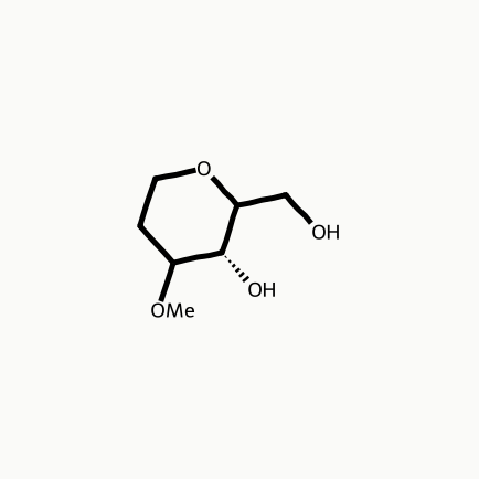 COC1CCOC(CO)[C@@H]1O